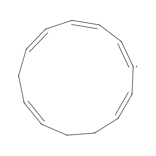 [C]1=CC=CC=CCC=CCCC=C1